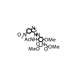 COC(=O)CN(CC(=O)OC)c1cc(NC(C)=O)c(/N=N/c2snc3ccc([N+](=O)[O-])cc23)cc1OC